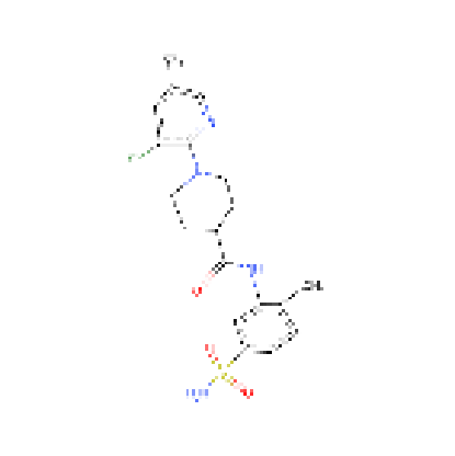 Cc1ccc(S(N)(=O)=O)cc1NC(=O)C1CCN(c2ncc(C(F)(F)F)cc2Cl)CC1